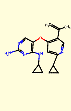 C=C(C)c1cnc(C2CC2)cc1Oc1cnc(N)nc1NC1CC1